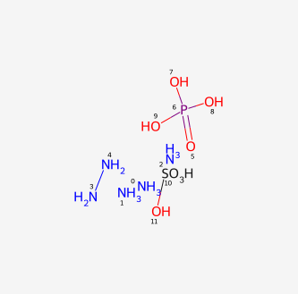 N.N.N.NN.O=P(O)(O)O.O=S(=O)(O)O